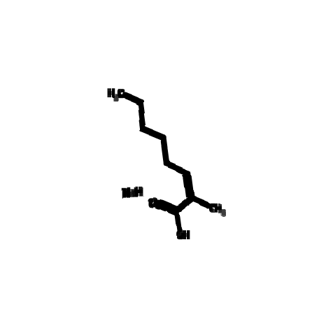 CCCCCC=C(C)C(=O)O.[NaH]